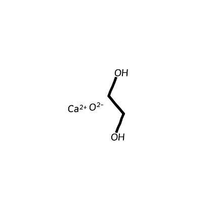 OCCO.[Ca+2].[O-2]